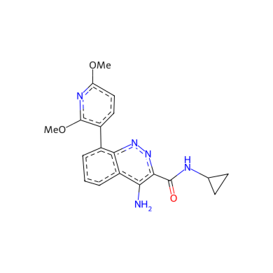 COc1ccc(-c2cccc3c(N)c(C(=O)NC4CC4)nnc23)c(OC)n1